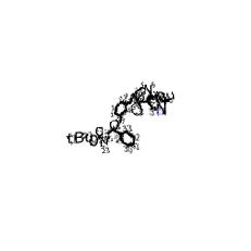 C=C(/N=C\C1=C(C(C)CC)N(C)CCN(c2cccc(COC(CCN(C)C(=O)OC(C)(C)C)c3ccccc3)c2)C1=O)NC